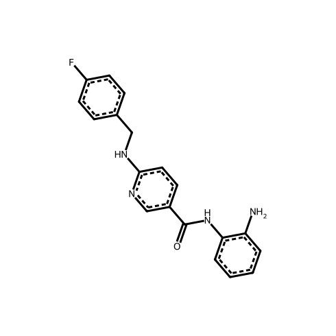 Nc1ccccc1NC(=O)c1ccc(NCc2ccc(F)cc2)nc1